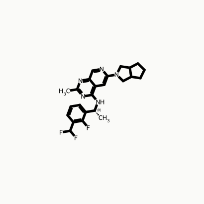 Cc1nc(N[C@H](C)c2cccc(C(F)F)c2F)c2cc(N3CC4CCCC4C3)ncc2n1